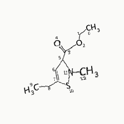 CCOC(=O)C1C=C(CC)SN1C